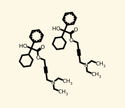 CCN(CC)CC#CCOC(=O)C(O)(c1ccccc1)C1CCCCC1.CCN(CC)CC#CCOC(=O)C(O)(c1ccccc1)C1CCCCC1